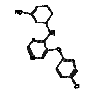 OC1CCCC(Nc2ncncc2Oc2ccc(Cl)cc2)C1